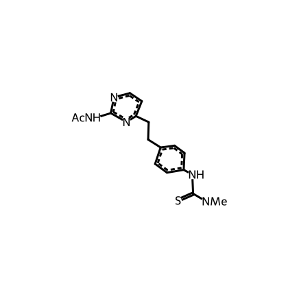 CNC(=S)Nc1ccc(CCc2ccnc(NC(C)=O)n2)cc1